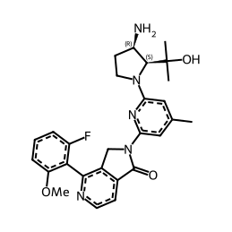 COc1cccc(F)c1-c1nccc2c1CN(c1cc(C)cc(N3CC[C@@H](N)[C@H]3C(C)(C)O)n1)C2=O